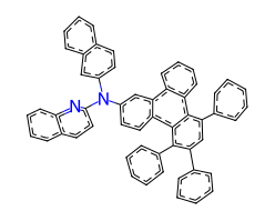 c1ccc(-c2cc(-c3ccccc3)c3c4ccccc4c4cc(N(c5ccc6ccccc6c5)c5ccc6ccccc6n5)ccc4c3c2-c2ccccc2)cc1